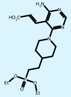 CCOP(=O)(CCC1CCN(c2ncnc(N)c2/C=C/C(=O)O)CC1)OCC